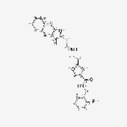 O=C(NCc1ncccc1F)c1coc(CCNCCc2nc3cc4ncccc4cc3[nH]2)n1